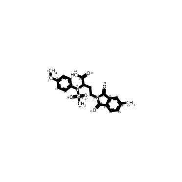 COc1ccc(N(C(CCN2C(=O)c3ccc(C)cc3C2=O)C(=O)O)S(C)(=O)=O)cc1